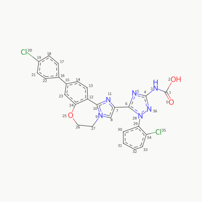 O=C(O)Nc1nc(-c2cn3c(n2)-c2ccc(-c4ccc(Cl)cc4)cc2OCC3)n(-c2ccccc2Cl)n1